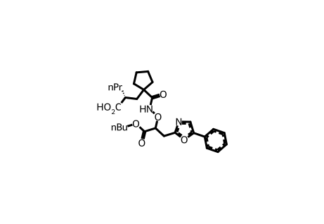 CCCCOC(=O)C(Cc1ncc(-c2ccccc2)o1)ONC(=O)C1(C[C@@H](CCC)C(=O)O)CCCC1